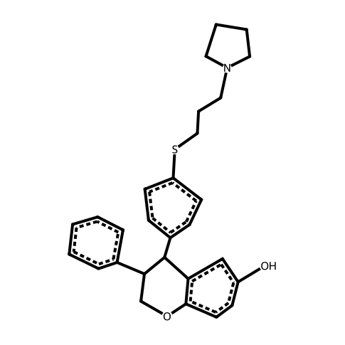 Oc1ccc2c(c1)C(c1ccc(SCCCN3CCCC3)cc1)C(c1ccccc1)CO2